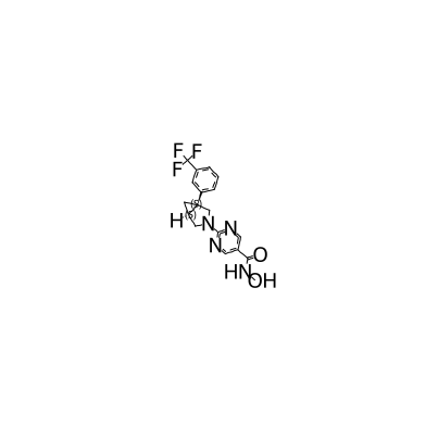 O=C(NO)c1cnc(N2C[C@H]3C[C@]3(c3cccc(C(F)(F)F)c3)C2)nc1